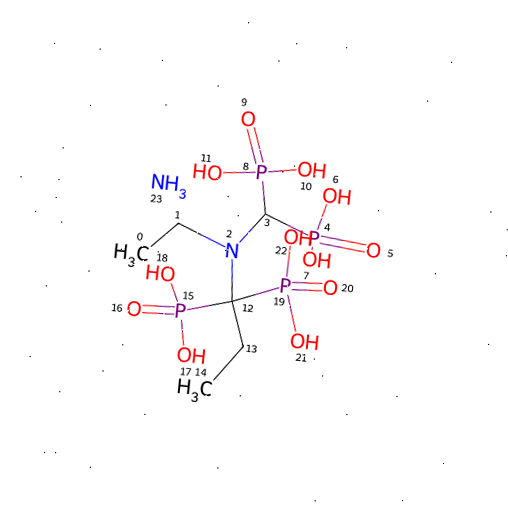 CCN(C(P(=O)(O)O)P(=O)(O)O)C(CC)(P(=O)(O)O)P(=O)(O)O.N